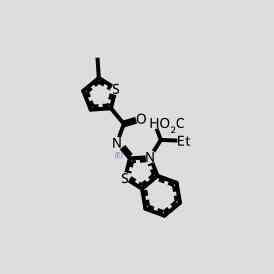 CCC(C(=O)O)n1/c(=N\C(=O)c2ccc(C)s2)sc2ccccc21